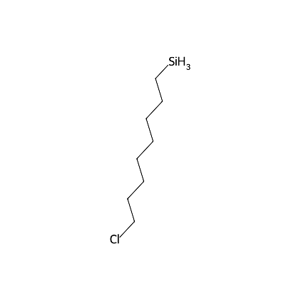 [SiH3]CCCCCCCCCl